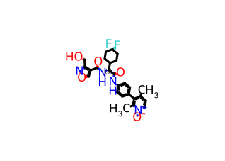 Cc1cc[n+]([O-])c(C)c1-c1ccc(NC(=O)[C@@H](NC(=O)c2conc2CO)C2CCC(F)(F)CC2)cc1